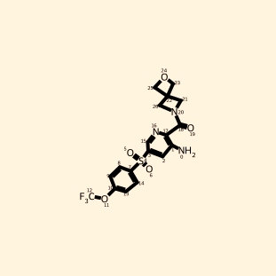 Nc1cc(S(=O)(=O)c2ccc(OC(F)(F)F)cc2)cnc1C(=O)N1CC2(COC2)C1